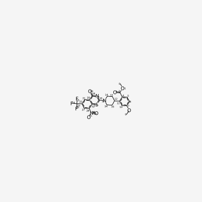 COC(=O)c1ccc(OC)cc1C1CCN(c2nc(=O)c3cc(C(F)(F)F)cc([N+](=O)[O-])c3s2)CC1